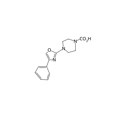 O=C(O)N1CCN(c2nc(-c3ccccc3)co2)CC1